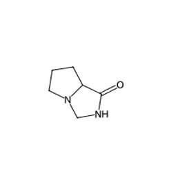 O=C1NCN2CCCC12